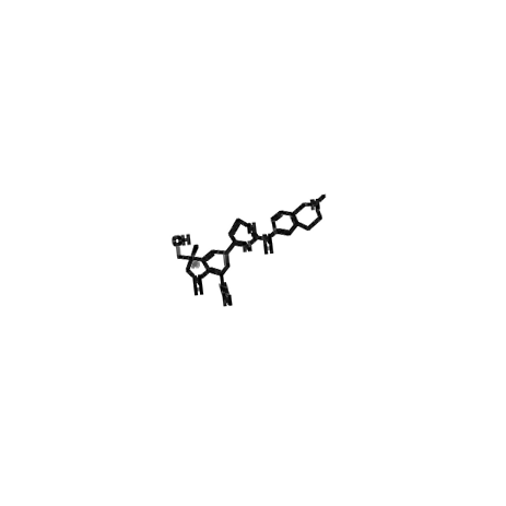 CN1CCc2cc(Nc3nccc(-c4cc(C#N)c5c(c4)[C@@](C)(CO)CN5)n3)ccc2C1